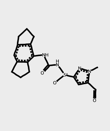 Cn1nc([S+]([O-])NC(=O)Nc2c3c(cc4c2CCC4)CCC3)cc1C=O